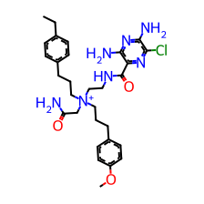 CCc1ccc(CCC[N+](CCCc2ccc(OC)cc2)(CCNC(=O)c2nc(Cl)c(N)nc2N)CC(N)=O)cc1